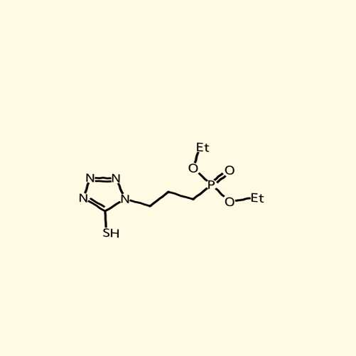 CCOP(=O)(CCCn1nnnc1S)OCC